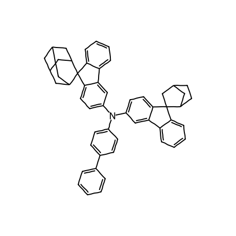 c1ccc(-c2ccc(N(c3ccc4c(c3)-c3ccccc3C43CC4CCC3C4)c3ccc4c(c3)-c3ccccc3C43C4CC5CC(C4)CC3C5)cc2)cc1